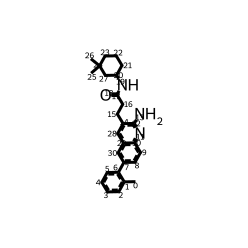 Cc1ccccc1-c1ccc2nc(N)c(CCC(=O)NC3CCCC(C)(C)C3)cc2c1